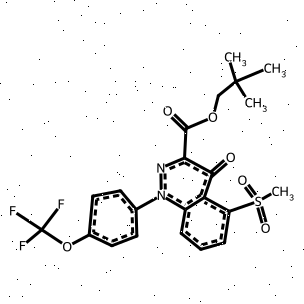 CC(C)(C)COC(=O)c1nn(-c2ccc(OC(F)(F)F)cc2)c2cccc(S(C)(=O)=O)c2c1=O